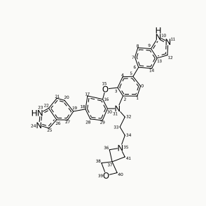 c1cc2c(cc1-c1ccc3[nH]ncc3c1)Oc1cc(-c3ccc4[nH]ncc4c3)ccc1N2CCCN1CC2(COC2)C1